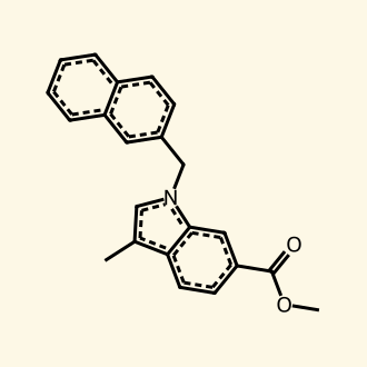 COC(=O)c1ccc2c(C)cn(Cc3ccc4ccccc4c3)c2c1